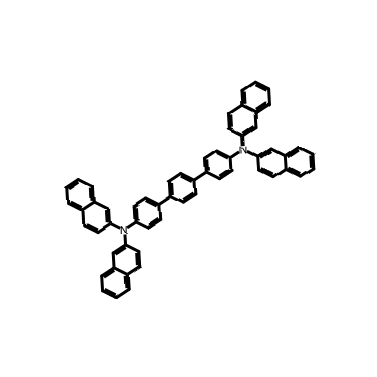 c1ccc2cc(N(c3ccc(-c4ccc(-c5ccc(N(c6ccc7ccccc7c6)c6ccc7ccccc7c6)cc5)cc4)cc3)c3ccc4ccccc4c3)ccc2c1